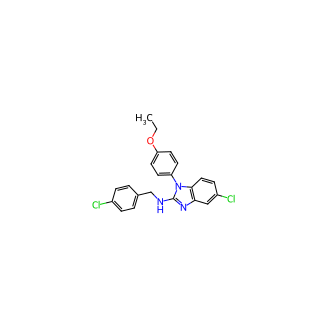 CCOc1ccc(-n2c(NCc3ccc(Cl)cc3)nc3cc(Cl)ccc32)cc1